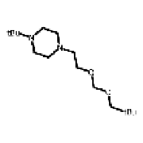 CC(C)(C)COCOCCN1CCN(C(C)(C)C)CC1